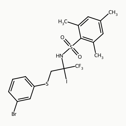 Cc1cc(C)c(S(=O)(=O)NC(I)(CSc2cccc(Br)c2)C(F)(F)F)c(C)c1